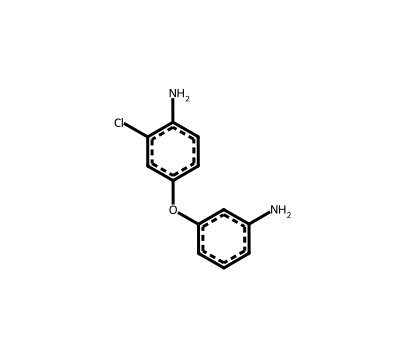 Nc1cccc(Oc2ccc(N)c(Cl)c2)c1